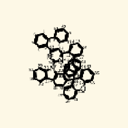 c1ccc(-c2ccccc2-c2cc(-c3ccccc3-c3ccccc3)nc(-n3c4ccccc4c4ccc5c(c43)-c3ccccc3C53c4ccccc4Oc4ccccc43)n2)cc1